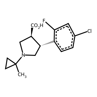 CC1(N2C[C@@H](C(=O)O)[C@H](c3ccc(Cl)cc3F)C2)CC1